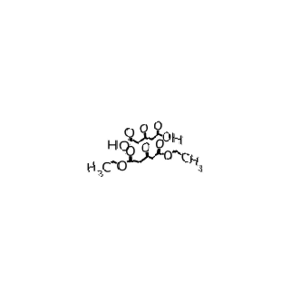 CCOC(=O)CC(=O)CC(=O)OCC.O=C(O)CC(=O)CC(=O)O